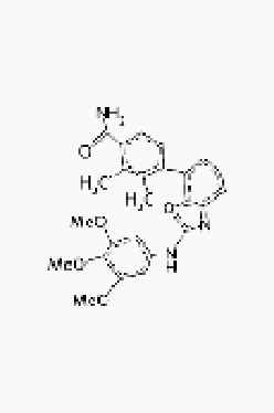 COc1cc(Nc2nc3cccc(-c4ccc(C(N)=O)c(C)c4C)c3o2)cc(OC)c1OC